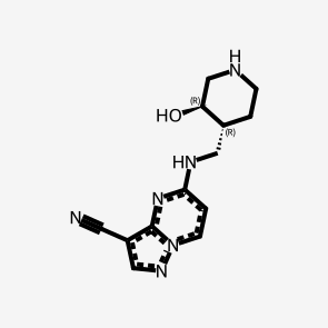 N#Cc1cnn2ccc(NC[C@H]3CCNC[C@@H]3O)nc12